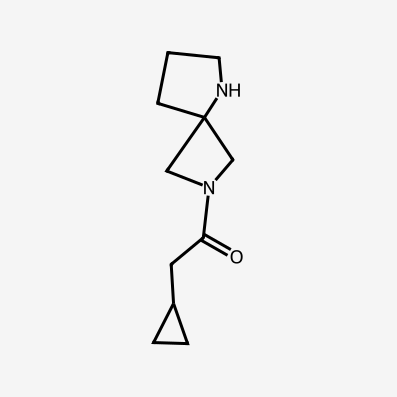 O=C(CC1CC1)N1CC2(CCCN2)C1